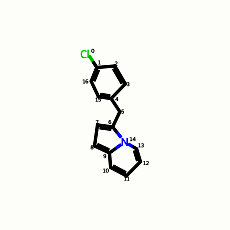 Clc1ccc(Cc2ccc3ccccn23)cc1